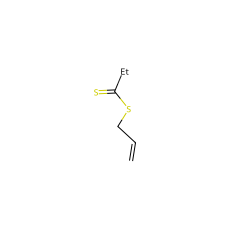 C=CCSC(=S)CC